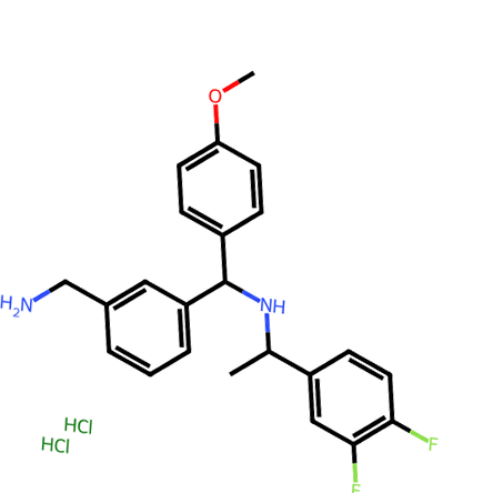 COc1ccc(C(NC(C)c2ccc(F)c(F)c2)c2cccc(CN)c2)cc1.Cl.Cl